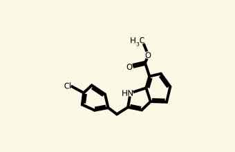 COC(=O)c1cccc2cc(Cc3ccc(Cl)cc3)[nH]c12